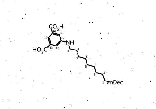 CCCCCCCCCCCCCCCCCCCNc1cc(C(=O)O)cc(C(=O)O)c1